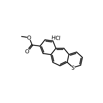 COC(=O)c1ccc2c(c1)=CC=C1SC=CC=C1C=2.Cl